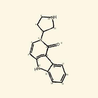 O=c1c2c(ccn1C1CCNC1)[nH]c1ccccc12